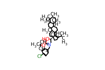 CC(C)C1=C2[C@H]3CC[C@@H]4[C@@]5(C)CC[C@H](C)C(C)(C)[C@@H]5CC[C@@]4(C)[C@]3(C)CC[C@@]2(C(O)CN(Cc2ccc(Cl)cc2)C(=O)OC(C)(C)C)CC1